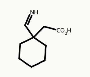 N=CC1(CC(=O)O)CCCCC1